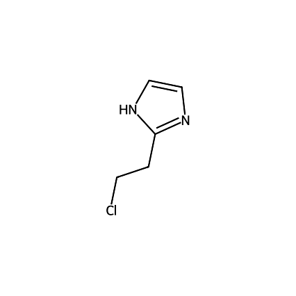 ClCCc1ncc[nH]1